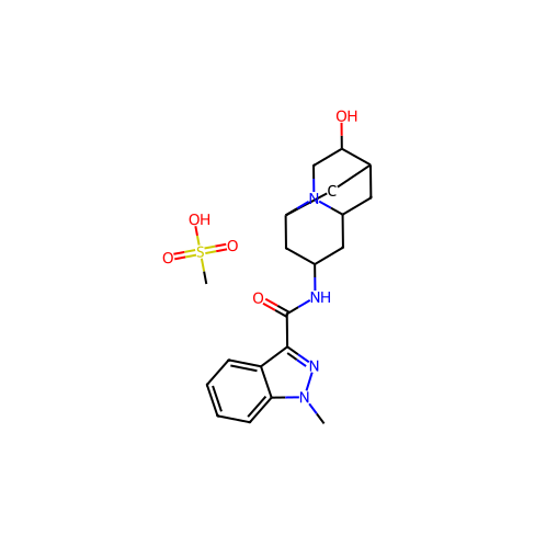 CS(=O)(=O)O.Cn1nc(C(=O)NC2CC3CC4CC(C2)N3CC4O)c2ccccc21